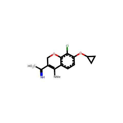 CNC1=C(C(=N)C(=O)O)COc2c1ccc(OC1CC1)c2Cl